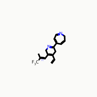 C=CC1=C(/C=C(\C)C(F)(F)F)CN=C(C2=CC=NCC=C2)C1